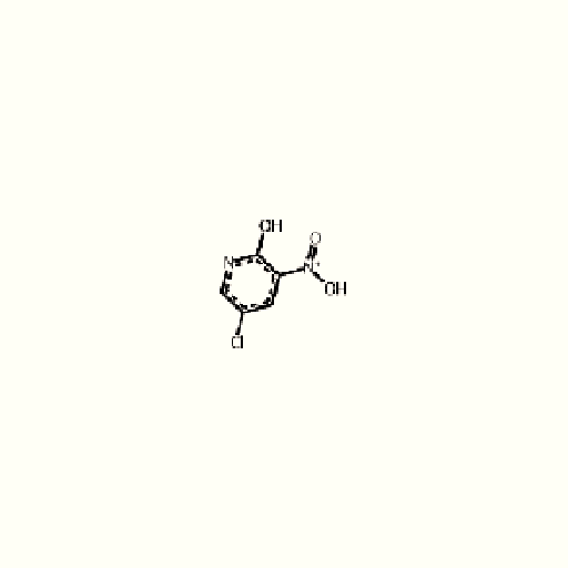 O=[N+](O)c1cc(Cl)cnc1O